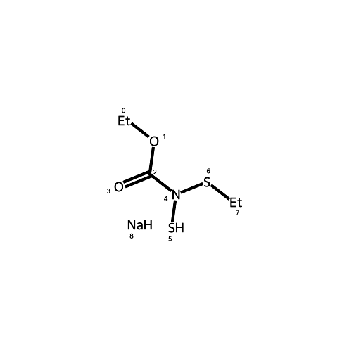 CCOC(=O)N(S)SCC.[NaH]